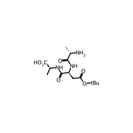 C[C@H](N)C(=O)N[C@@H](CC(=O)OC(C)(C)C)C(=O)N[C@@H](C)C(=O)O